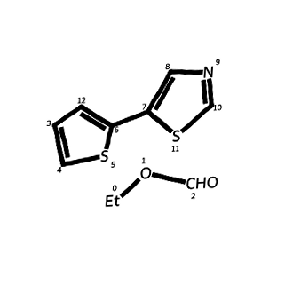 CCOC=O.c1csc(-c2cncs2)c1